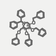 c1ccc(COC[C@@H]2[C@H](OCc3ccccc3)[C@H](OCc3ccccc3)[C@@H](OCc3ccccc3)CN2C(c2ccccc2)c2ccccc2)cc1